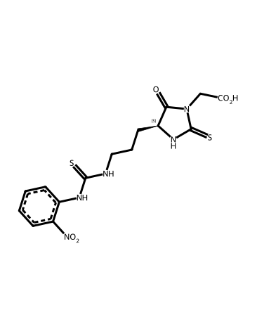 O=C(O)CN1C(=O)[C@H](CCCNC(=S)Nc2ccccc2[N+](=O)[O-])NC1=S